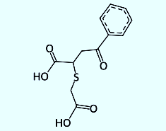 O=C(O)CSC(CC(=O)c1ccccc1)C(=O)O